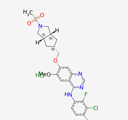 COc1cc2c(Nc3ccc(Br)c(Cl)c3F)ncnc2cc1OC[C@@H]1C[C@@H]2CN(S(C)(=O)=O)C[C@@H]2C1.Cl